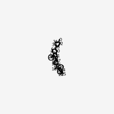 Cc1ccc(-c2ccc3c(c2)CN(c2ccc(C(C)C(=O)OC(C)(C)C)cc2)C3=O)cc1